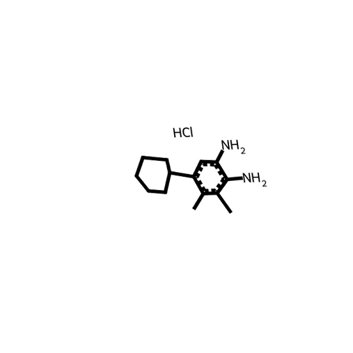 Cc1c(C2CCCCC2)cc(N)c(N)c1C.Cl